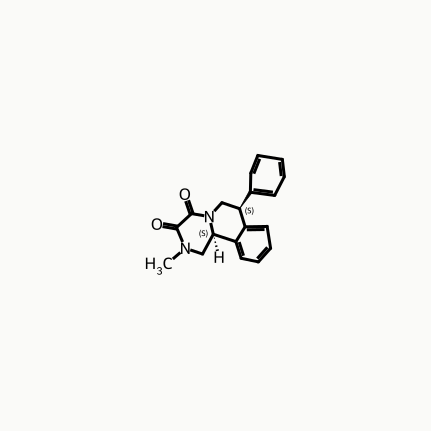 CN1C[C@@H]2c3ccccc3[C@H](c3ccccc3)CN2C(=O)C1=O